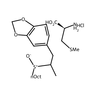 CCCCCCCC[S+]([O-])C(C)Cc1ccc2c(c1)OCO2.CSC[C@H](N)C(=O)O.Cl